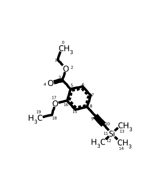 CCOC(=O)c1ccc(C#C[Si](C)(C)C)cc1OCC